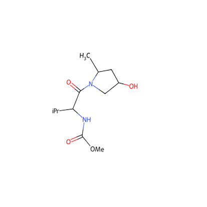 COC(=O)NC(C(=O)N1CC(O)CC1C)C(C)C